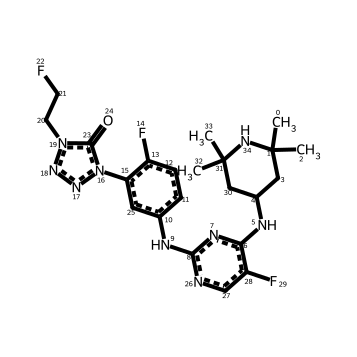 CC1(C)CC(Nc2nc(Nc3ccc(F)c(-n4nnn(CCF)c4=O)c3)ncc2F)CC(C)(C)N1